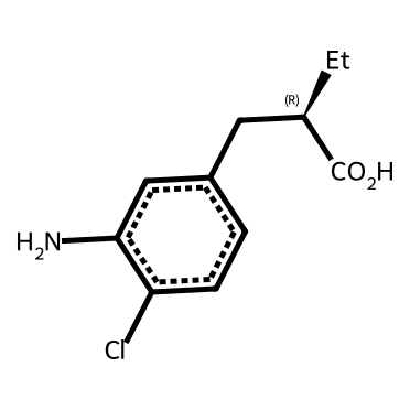 CC[C@H](Cc1ccc(Cl)c(N)c1)C(=O)O